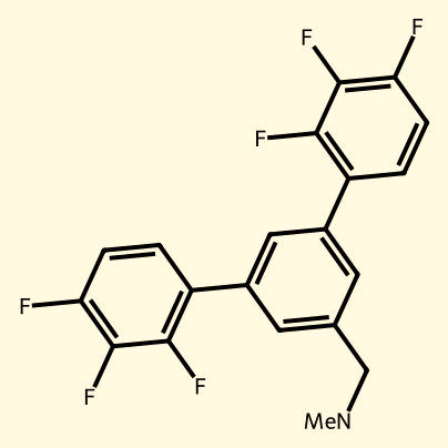 CNCc1cc(-c2ccc(F)c(F)c2F)cc(-c2ccc(F)c(F)c2F)c1